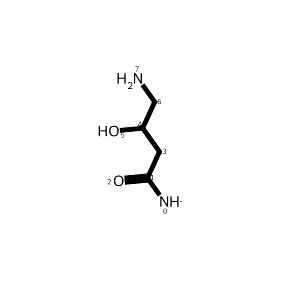 [NH]C(=O)CC(O)CN